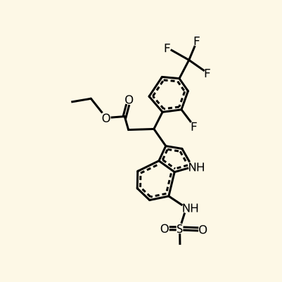 CCOC(=O)CC(c1ccc(C(F)(F)F)cc1F)c1c[nH]c2c(NS(C)(=O)=O)cccc12